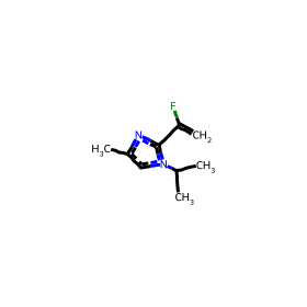 C=C(F)c1nc(C)cn1C(C)C